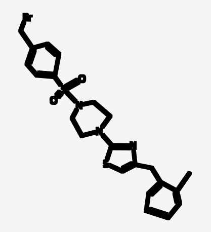 Cc1ccccc1Cc1csc(N2CCN(S(=O)(=O)c3ccc(CBr)cc3)CC2)n1